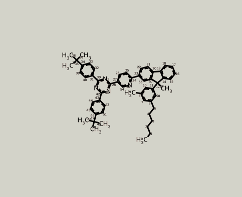 CCCCCCc1cc(C)cc(C2(C)c3ccccc3-c3ccc(-c4ccc(-c5nc(-c6ccc(C(C)(C)C)cc6)nc(-c6ccc(C(C)(C)C)cc6)n5)cn4)cc32)c1